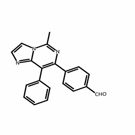 Cc1nc(-c2ccc(C=O)cc2)c(-c2ccccc2)c2nccn12